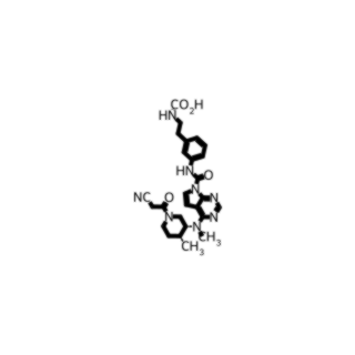 C[C@@H]1CCN(C(=O)CC#N)C[C@@H]1N(C)c1ncnc2c1ccn2C(=O)Nc1cccc(CCNC(=O)O)c1